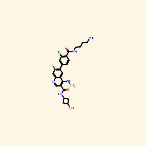 CNc1c(C(=O)NC2CC(O)C2)cnc2cc(F)c(-c3ccc(C(=O)NCCCCN)c(F)c3)cc12